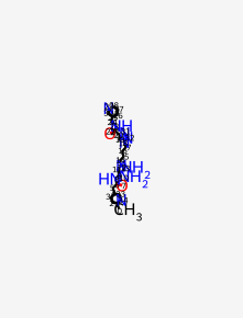 Cc1ccc(CC(=O)N/C(N)=C/N(N)CCCCn2cc(C(=O)NCc3cccnc3)nn2)cn1